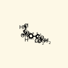 NS(=O)(=O)n1ccc(-c2ccc(NS(=O)(=O)CCNCl)cc2)c1C(=O)O